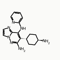 Nc1nn2ccnc2c(Nc2ccccn2)c1[C@H]1CC[C@H](N)CC1